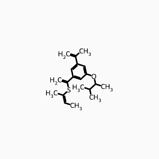 C=C(C)c1cc(OC(C)C(C)C)cc(C(=C)S/C(C)=C\C)c1